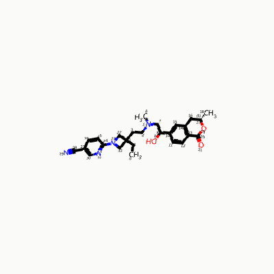 CCC1(CCN(C)CC(O)c2ccc3c(c2)C[C@H](C)OC3=O)CN(c2ccc(C#N)cn2)C1